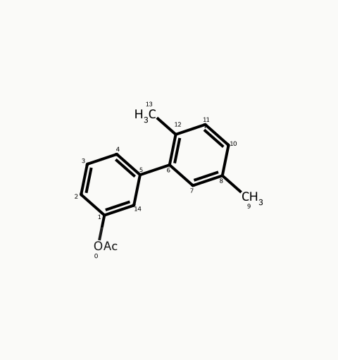 CC(=O)Oc1cccc(-c2cc(C)c[c]c2C)c1